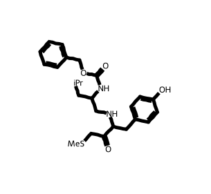 CSCC(=O)C(Cc1ccc(O)cc1)NCC(CC(C)C)NC(=O)OCc1ccccc1